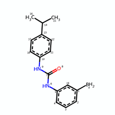 Bc1cccc(NC(=O)Nc2ccc(C(C)C)cc2)c1